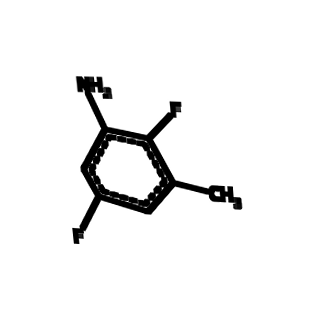 Cc1cc(F)cc(N)c1F